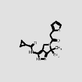 CC1(C)c2n[nH]c(NC(=O)C3CC3)c2CN1C(=O)Cc1cccs1